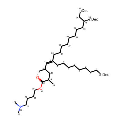 CCCCCCCCCCCCCCCCCC/C(=C\C(C)CC(C)C(=O)OCCCCN(C)C)CCCCCCCCC(CCCCCCCCCC)CCCCCCCCCCC